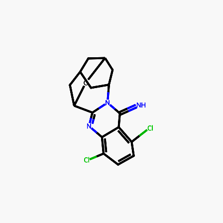 N=c1c2c(Cl)ccc(Cl)c2nc2n1C1CC3CC(CC2C3)C1